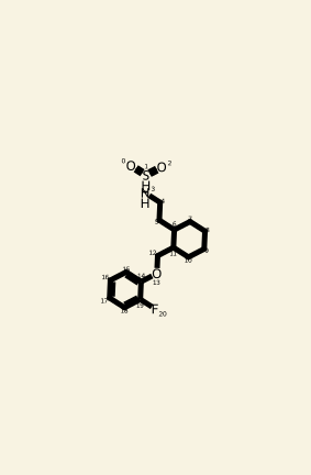 O=[SH](=O)NCCC1CCCCC1COc1ccccc1F